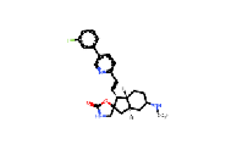 O=C(O)NC1CC[C@@H]2[C@@H](C1)CC1(CNC(=O)O1)[C@H]2C=Cc1ccc(-c2cccc(F)c2)cn1